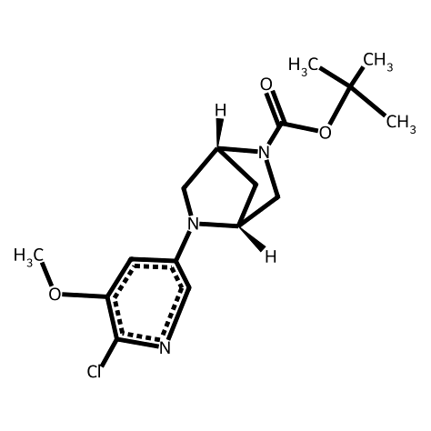 COc1cc(N2C[C@H]3C[C@@H]2CN3C(=O)OC(C)(C)C)cnc1Cl